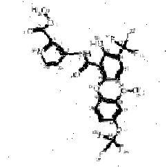 COC(=O)c1cc(NC(=O)c2c(Oc3ccc(OC(F)(F)F)cc3OC)ccc(C(F)(F)F)c2O)ccn1